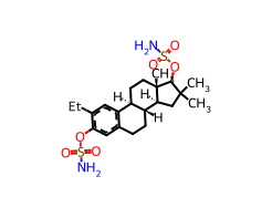 CCc1cc2c(cc1OS(N)(=O)=O)CC[C@@H]1[C@@H]2CC[C@@]2(C)[C@H]1CC(C)(C)[C@@H]2OS(N)(=O)=O